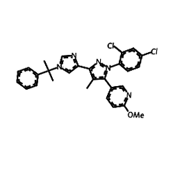 COc1ccc(-c2c(C)c(-c3cn(C(C)(C)c4ccccc4)cn3)nn2-c2ccc(Cl)cc2Cl)cn1